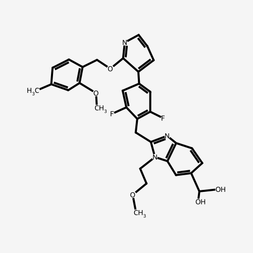 COCCn1c(Cc2c(F)cc(-c3cccnc3OCc3ccc(C)cc3OC)cc2F)nc2ccc(C(O)O)cc21